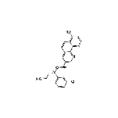 OCC[C@H](OPc1cnc2c(ccc3c(O)ccnc32)c1)c1cccc(Cl)c1